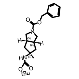 CC(C)(C)OC(=O)N[C@@]1(C)C[C@H]2CN(C(=O)OCc3ccccc3)C[C@H]2C1